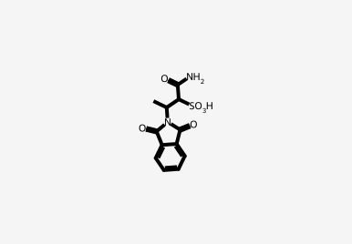 CC(C(C(N)=O)S(=O)(=O)O)N1C(=O)c2ccccc2C1=O